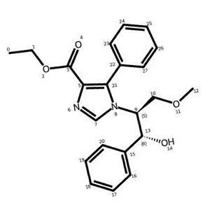 CCOC(=O)c1ncn([C@@H](COC)[C@H](O)c2ccccc2)c1-c1ccccc1